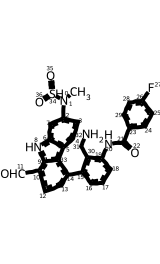 CN(c1ccc2c(c1)[nH]c1c([C]=O)ccc(-c3cccc(NC(=O)c4ccc(F)cc4)c3CN)c12)[SH](=O)=O